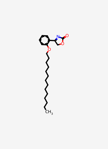 CCCCCCCCCCCCCCOc1ccccc1C1=NC(=O)OC1